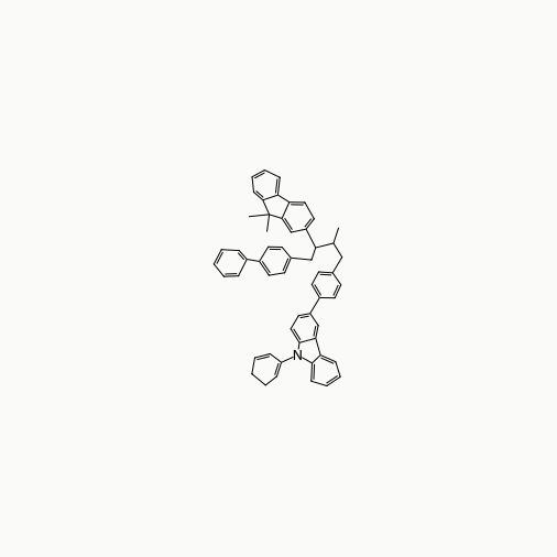 CC(Cc1ccc(-c2ccc3c(c2)c2ccccc2n3C2=CCCC=C2)cc1)C(Cc1ccc(-c2ccccc2)cc1)c1ccc2c(c1)C(C)(C)c1ccccc1-2